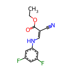 CCOC(=O)C(C#N)=CNc1cc(F)cc(F)c1